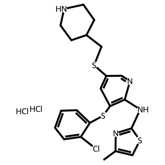 Cc1csc(Nc2ncc(SCC3CCNCC3)cc2Sc2ccccc2Cl)n1.Cl.Cl